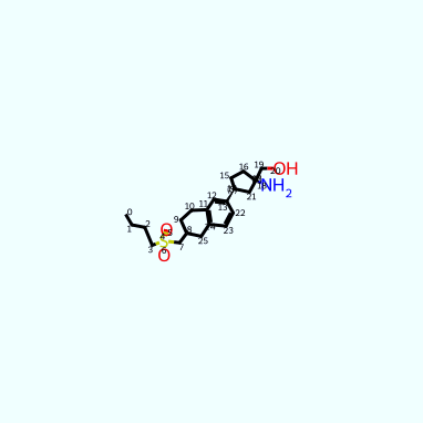 CCCCS(=O)(=O)CC1CCc2cc([C@H]3CC[C@](N)(CO)C3)ccc2C1